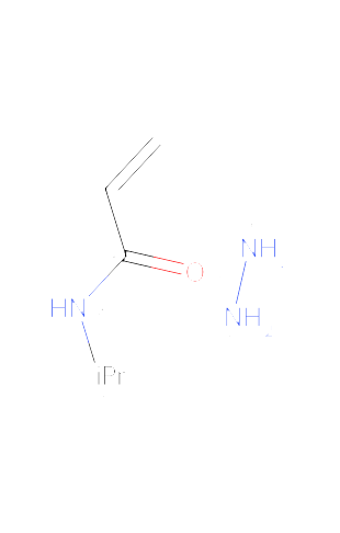 C=CC(=O)NC(C)C.NN